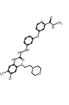 CNC(=O)c1cc(Oc2cccc(NNC(=O)Nc3cc(C)c(Cl)cc3OCCN3CCOCC3)c2)ccn1